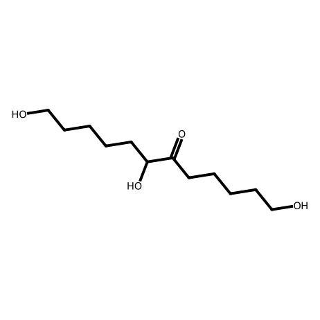 O=C(CCCCCO)C(O)CCCCCO